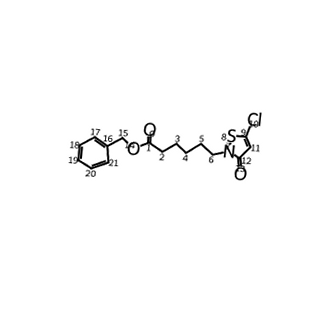 O=C(CCCCCn1sc(Cl)cc1=O)OCc1ccccc1